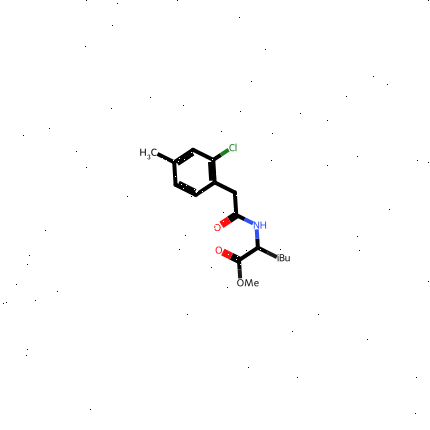 CCC(C)C(NC(=O)Cc1ccc(C)cc1Cl)C(=O)OC